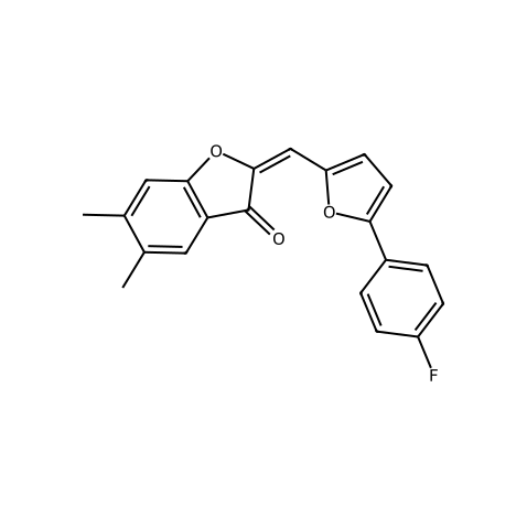 Cc1cc2c(cc1C)C(=O)C(=Cc1ccc(-c3ccc(F)cc3)o1)O2